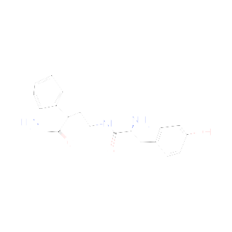 C[C@H](N)C(=O)C(CCNC(=O)[C@@H](N)Cc1ccc(O)cc1)c1ccccc1